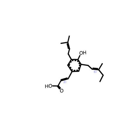 CC/C(C)=C/Cc1cc(/C=C/C(=O)O)cc(CC=C(C)C)c1O